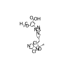 COc1cc(C(=O)O)cc(-c2nsc(N3CC4C(C=Cc5c(-c6c(Cl)cncc6Cl)noc5C5CC5)C4C3)n2)c1